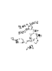 COc1cc(NC(=O)NC2CCCC2NCCCc2ccc(Cl)cc2)cc(OC)c1OC.Cl